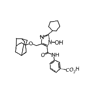 O=C(O)c1cccc(NC(=O)c2c(COC34CC5CC(CC(C5)C3)C4)nc(C3CCCCC3)n2O)c1